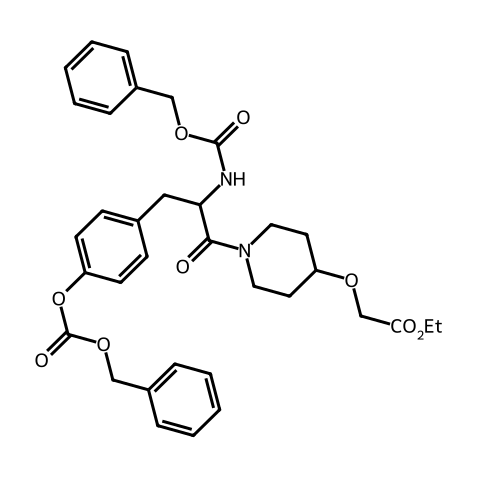 CCOC(=O)COC1CCN(C(=O)C(Cc2ccc(OC(=O)OCc3ccccc3)cc2)NC(=O)OCc2ccccc2)CC1